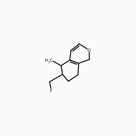 CC1C2=C(CCC1CF)COC=C2